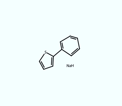 [NaH].[c]1cccc(-c2cccs2)c1